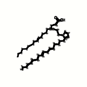 CCCCCCCCC=CCCCCCCCC(=O)O.CCCCCCCCC=CCCCCCCCC1=NCCN1CCO